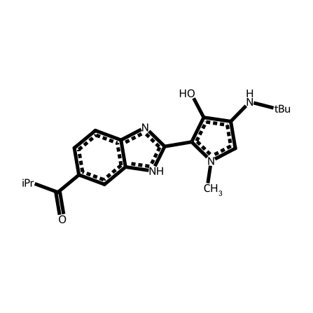 CC(C)C(=O)c1ccc2nc(-c3c(O)c(NC(C)(C)C)cn3C)[nH]c2c1